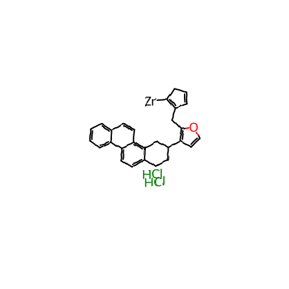 Cl.Cl.[Zr][C]1=C(Cc2occc2C2CCc3ccc4c(ccc5ccccc54)c3C2)C=CC1